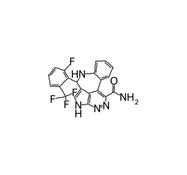 NC(=O)c1nnc2[nH]cc3c2c1-c1ccccc1NC3c1c(F)cccc1C(F)(F)F